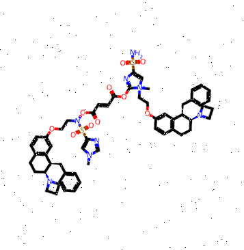 Cn1cnc(S(=O)(=O)N(CCOc2ccc3c(c2)[C@@H](Cc2ccccc2)[C@@H](N2CCC2)CC3)OC(=O)/C=C/C(=O)OC2=NC(S(N)(=O)=O)=C[N+]2(C)CCOc2ccc3c(c2)[C@@H](Cc2ccccc2)[C@@H](N2CCC2)CC3)c1